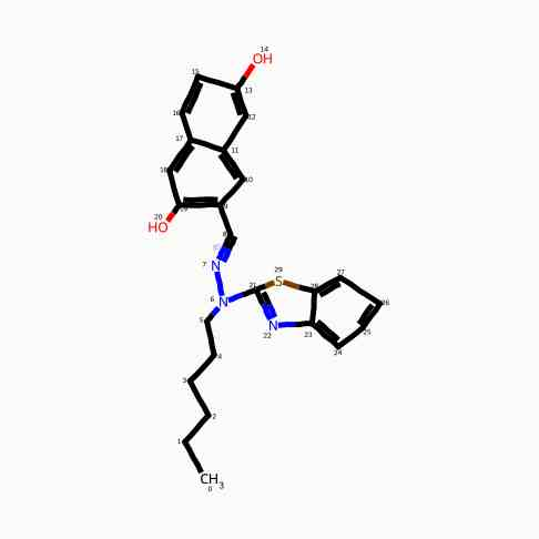 CCCCCCN(/N=C/c1cc2cc(O)ccc2cc1O)c1nc2ccccc2s1